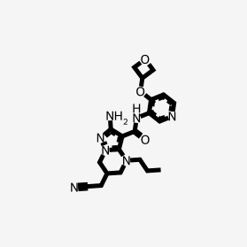 CCCN1CC(CC#N)Cn2nc(N)c(C(=O)Nc3cnccc3OC3COC3)c21